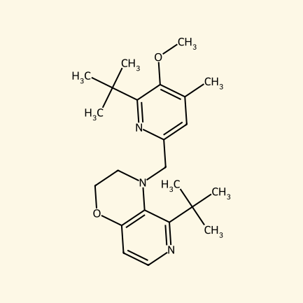 COc1c(C)cc(CN2CCOc3ccnc(C(C)(C)C)c32)nc1C(C)(C)C